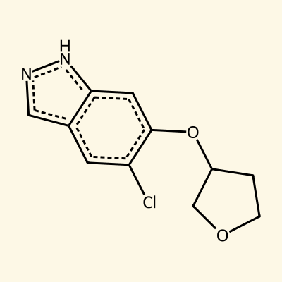 Clc1cc2cn[nH]c2cc1OC1CCOC1